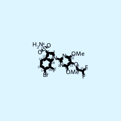 COc1nc(-n2cc(S(N)(=O)=O)c3ccc(Br)c(F)c32)nc(OC)c1OCC(F)F